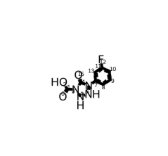 O=C(O)N1NNN(c2cccc(F)c2)C1=O